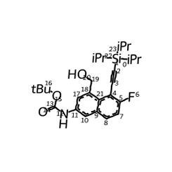 CC(C)[Si](C#Cc1c(F)ccc2cc(NC(=O)OC(C)(C)C)cc(CO)c12)(C(C)C)C(C)C